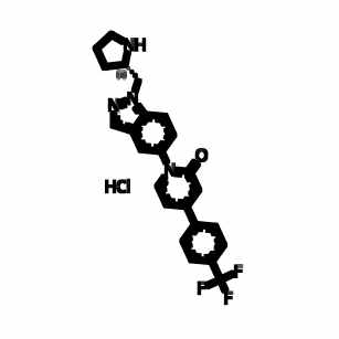 Cl.O=c1cc(-c2ccc(C(F)(F)F)cc2)ccn1-c1ccc2c(cnn2C[C@@H]2CCCN2)c1